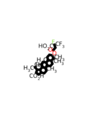 C=C(C)C1CCC2(C(=O)O)CCC3(C)C(CCC4[C@@]5(C)CCC(OC(=O)CC(F)(C(=O)O)C(F)(F)F)C(C)(C)C5CC[C@]43C)C12